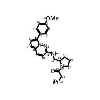 COc1ccc(-c2cnc3ccc(NCC4CCCN4C(=O)CC(C)C)nn23)cc1